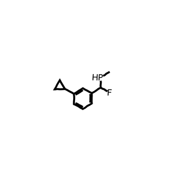 CPC(F)c1cccc(C2CC2)c1